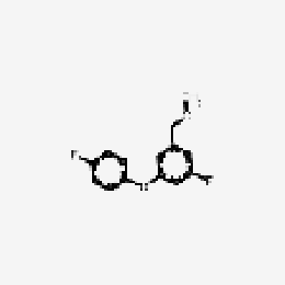 COCc1cc(F)cc(Oc2ccc(F)cc2)c1